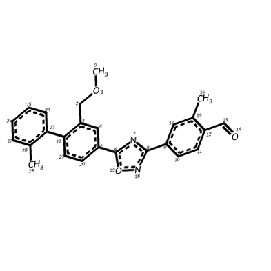 COCc1cc(-c2nc(-c3ccc(C=O)c(C)c3)no2)ccc1-c1ccccc1C